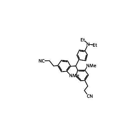 CCN(CC)c1ccc(C(c2ccc(CCC#N)cc2NC)c2ccc(CCC#N)cc2NC)cc1